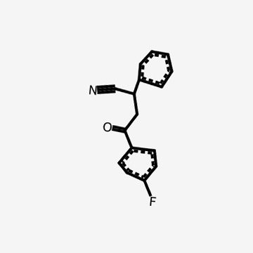 N#CC(CC(=O)c1ccc(F)cc1)c1ccccc1